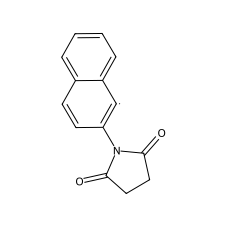 O=C1CCC(=O)N1c1[c]c2ccccc2cc1